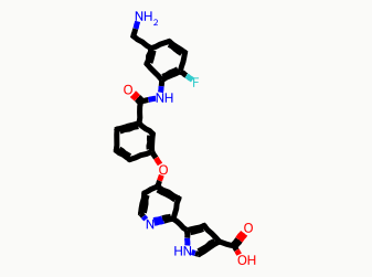 NCc1ccc(F)c(NC(=O)c2cccc(Oc3ccnc(-c4cc(C(=O)O)c[nH]4)c3)c2)c1